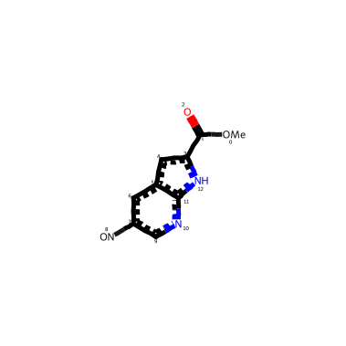 COC(=O)c1cc2cc(N=O)cnc2[nH]1